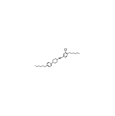 CCCCCCc1ccc(C2CCC(C#Cc3ccc(CCCCCC)c(Cl)c3)CC2)cc1